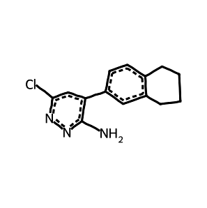 Nc1nnc(Cl)cc1-c1ccc2c(c1)CCCC2